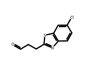 O=CCCc1nc2ccc(Cl)cc2s1